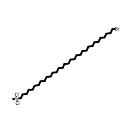 C[Si](Cl)(Cl)CCCCCCCCCCCCCCCCCCCCCCCCCCCCCCCCBr